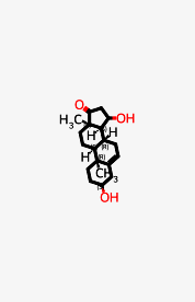 C[C@]12CC[C@H](O)CC1=CC[C@@H]1[C@@H]2CC[C@]2(C)C(=O)CC(O)[C@@H]12